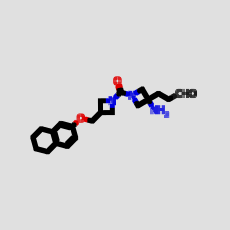 NC1(CCC=O)CN(C(=O)N2CC(COc3ccc4c(c3)CCCC4)C2)C1